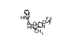 C[C@@H](NC(=O)C1CC1c1cc2ccccc2[nH]1)c1cnc(OCC(F)(F)F)cn1